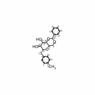 Cc1ccc(SC2OC3COC(c4ccccc4)OC3C(O)C2O)cc1